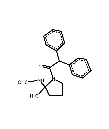 CC1(NC=O)CCCN1C(=O)C(c1ccccc1)c1ccccc1